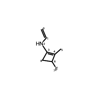 C=CNC1=C(C)C(F)C1